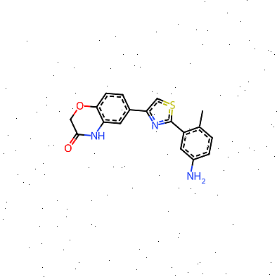 Cc1ccc(N)cc1-c1nc(-c2ccc3c(c2)NC(=O)CO3)cs1